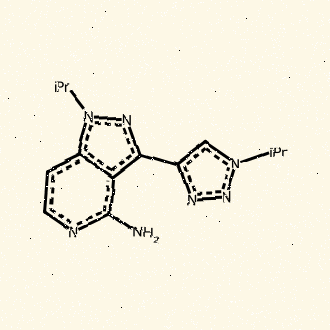 CC(C)n1cc(-c2nn(C(C)C)c3ccnc(N)c23)nn1